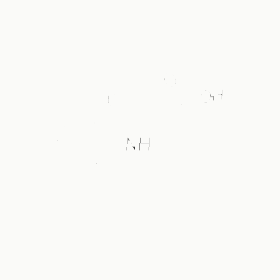 CC1Cc2ccccc2C(NCCC(=O)O)C1=O